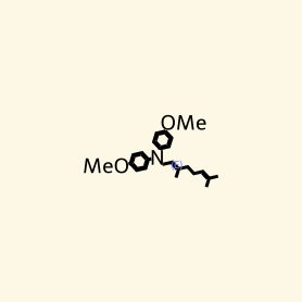 COc1ccc(N(C/C=C(\C)CCC=C(C)C)c2ccc(OC)cc2)cc1